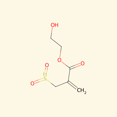 C=C(C[SH](=O)=O)C(=O)OCCO